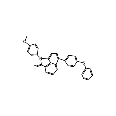 COc1ccc(N2C(=O)c3cccc4c(-c5ccc(Sc6ccccc6)cc5)ccc2c34)cc1